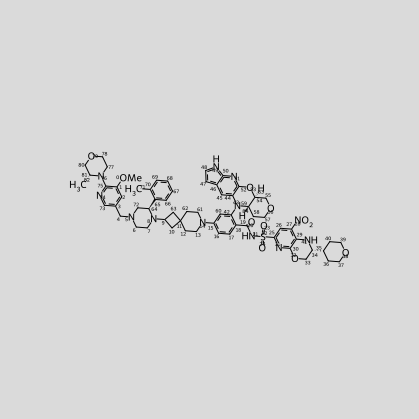 COc1cc(CN2CCN(C3CC4(CCN(c5ccc(C(=O)NS(=O)(=O)c6cc([N+](=O)[O-])c7c(n6)OC[C@@H](C6CCOCC6)N7)c(N6c7cc8cc[nH]c8nc7O[C@H]7COCC[C@@H]76)c5)CC4)C3)[C@H](c3ccccc3C)C2)cnc1N1CCOC[C@H]1C